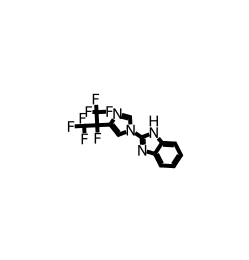 FC(F)(F)C(F)(c1cn(-c2nc3ccccc3[nH]2)cn1)C(F)(F)F